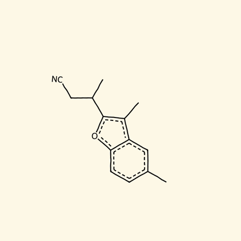 Cc1ccc2oc(C(C)CC#N)c(C)c2c1